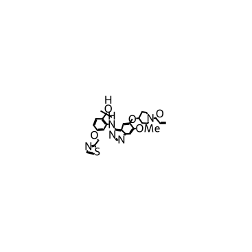 C=CC(=O)N1CCC(Oc2cc3c(Nc4cc(OCc5nccs5)ccc4C(C)(C)O)ncnc3cc2OC)CC1